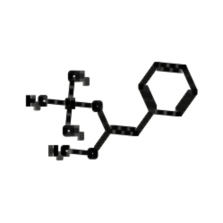 COC(=Cc1ccccc1)O[Si](C)(C)C